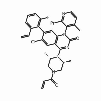 C=CC(=O)N1C[C@H](C)N(c2nc(=O)n(-c3c(C)ccnc3C(C)C)c3cc(-c4c(F)cccc4C=C)c(Cl)cc23)[C@@H](C)C1